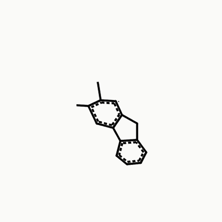 Cc1[c]c2c(cc1C)-c1ccccc1C2